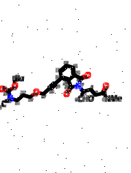 CNC(=O)CCC(C=O)N1C(=O)c2cccc(C#CCOCCCN(C)C(=O)OC(C)(C)C)c2C1=O